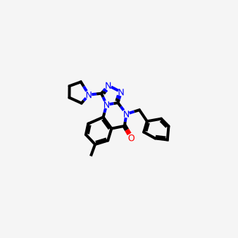 Cc1ccc2c(c1)c(=O)n(Cc1ccccc1)c1nnc(N3CCCC3)n21